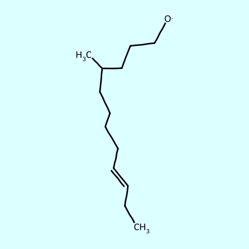 CCC=CCCCCC(C)CCC[O]